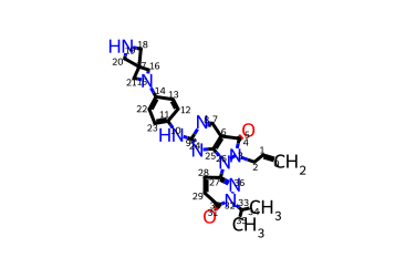 C=CCn1c(=O)c2cnc(Nc3ccc(N4CC5(CNC5)C4)cc3)nc2n1-c1ccc(=O)n(C(C)C)n1